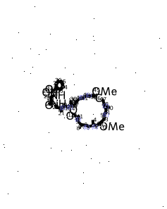 CO[C@@H]1/C=C(C)/C=C/[C@@H](C)/C=C(\C)C(=O)O[C@H](/C(C)=C/C=C(\C)CNC(=O)[C@H](CO)NC(=O)c2ccccc2)[C@@H](C)/C=C/C=C/[C@@H](OC)CC/C=C(C)\C=C\C1